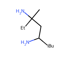 CCC(C)C(N)CC(C)(N)CC